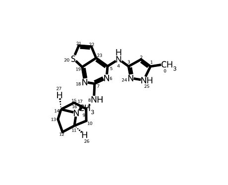 Cc1cc(Nc2nc(N[C@@H]3C[C@H]4CC[C@@H](C3)N4C)nc3sccc23)n[nH]1